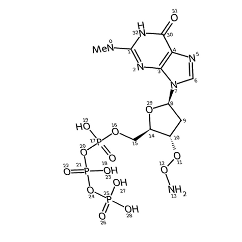 CNc1nc2c(ncn2[C@H]2C[C@H](OON)[C@@H](COP(=O)(O)OP(=O)(O)OP(=O)(O)O)O2)c(=O)[nH]1